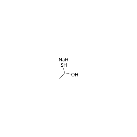 CC(O)S.[NaH]